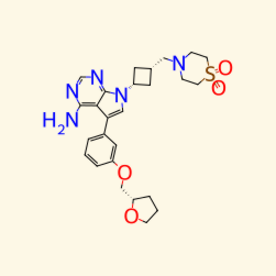 Nc1ncnc2c1c(-c1cccc(OC[C@@H]3CCCO3)c1)cn2[C@H]1C[C@@H](CN2CCS(=O)(=O)CC2)C1